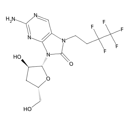 Nc1ncc2c(n1)n([C@@H]1O[C@H](CO)C[C@H]1O)c(=O)n2CCC(F)(F)C(F)(F)F